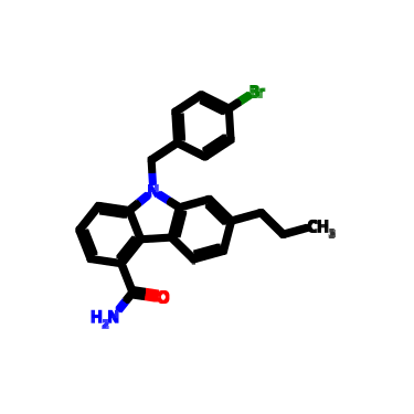 CCCc1c[c]c2c3c(C(N)=O)cccc3n(Cc3ccc(Br)cc3)c2c1